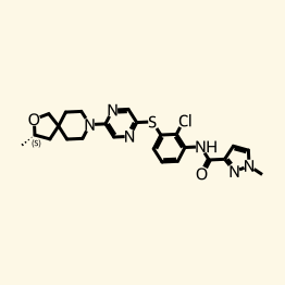 C[C@H]1CC2(CCN(c3cnc(Sc4cccc(NC(=O)c5ccn(C)n5)c4Cl)cn3)CC2)CO1